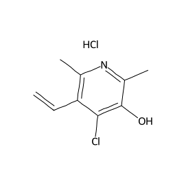 C=Cc1c(C)nc(C)c(O)c1Cl.Cl